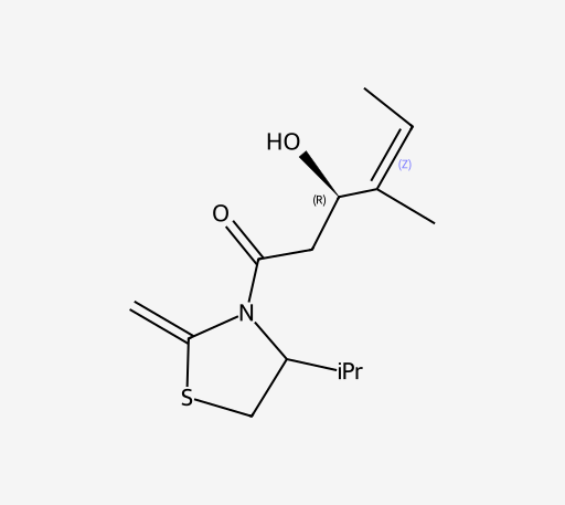 C=C1SCC(C(C)C)N1C(=O)C[C@@H](O)/C(C)=C\C